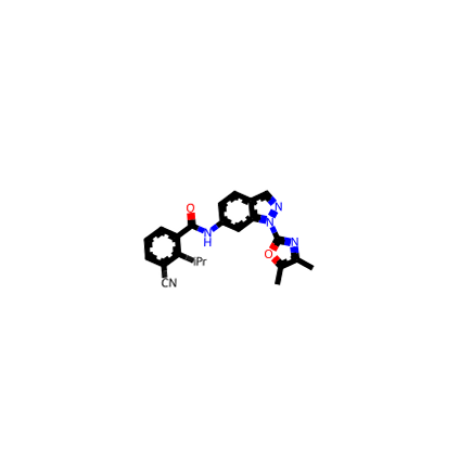 Cc1nc(-n2ncc3ccc(NC(=O)c4cccc(C#N)c4C(C)C)cc32)oc1C